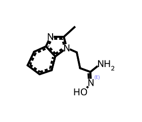 Cc1nc2ccccc2n1CC/C(N)=N\O